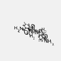 NC(=O)c1cccc(C(=O)NCNC(=O)c2cccc(C(N)=O)c2N)c1N